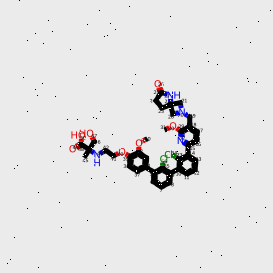 COc1cc(-c2cccc(-c3cccc(-c4ccc(CN5CC6(CCC(=O)N6)C5)c(OC)n4)c3Cl)c2Cl)ccc1OCCNC(C)(CO)C(=O)O